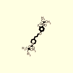 CC(C)S(=O)(=O)c1ccc(OCCCC2CCN(C(=O)OC(C)(C)C)CC2)cc1F